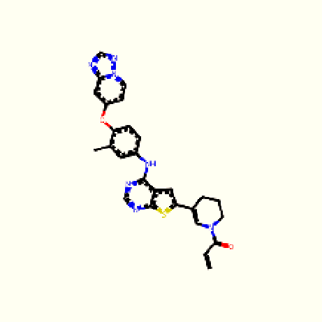 C=CC(=O)N1C=C(c2cc3c(Nc4ccc(Oc5ccn6ncnc6c5)c(C)c4)ncnc3s2)CCC1